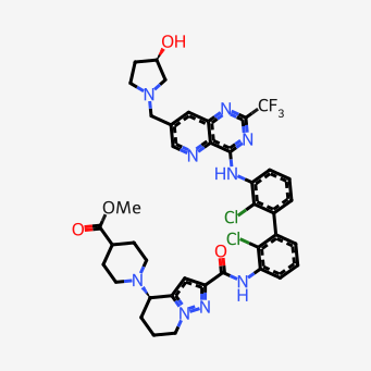 COC(=O)C1CCN([C@@H]2CCCn3nc(C(=O)Nc4cccc(-c5cccc(Nc6nc(C(F)(F)F)nc7cc(CN8CC[C@@H](O)C8)cnc67)c5Cl)c4Cl)cc32)CC1